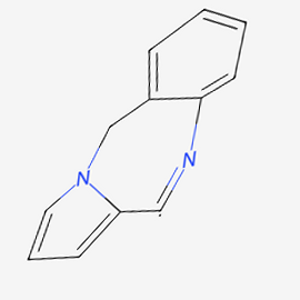 [C]1=Nc2ccccc2Cn2cccc21